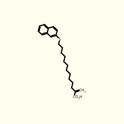 C=C(CCCCCCCCCCCSc1ccc2ccccc2c1)C(=O)O